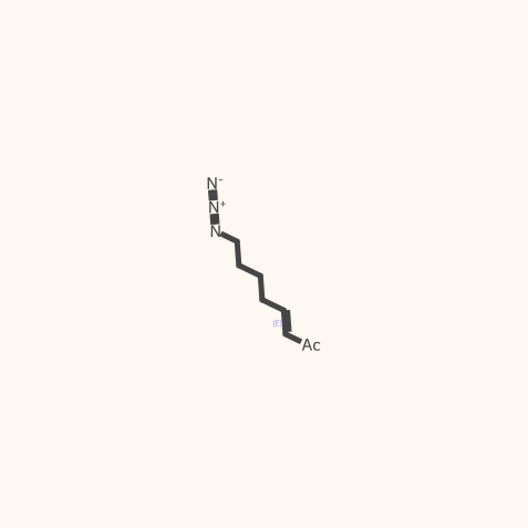 CC(=O)/C=C/CCCCN=[N+]=[N-]